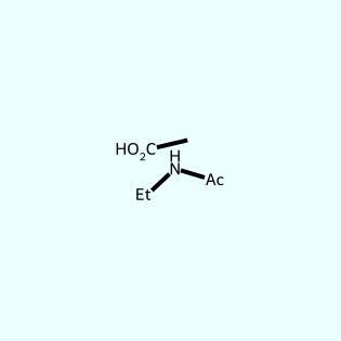 CC(=O)O.CCNC(C)=O